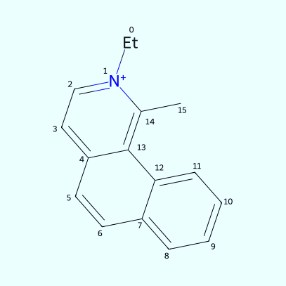 CC[n+]1ccc2ccc3ccccc3c2c1C